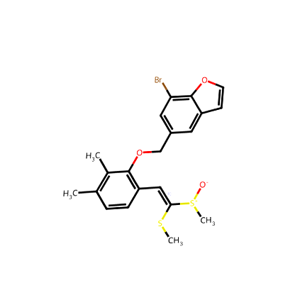 CS/C(=C\c1ccc(C)c(C)c1OCc1cc(Br)c2occc2c1)[S+](C)[O-]